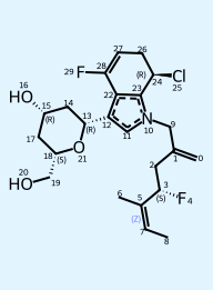 C=C(C[C@H](F)/C(C)=C\C)Cn1cc([C@H]2C[C@@H](O)C[C@@H](CO)O2)c2c1[C@H](Cl)CC=C2F